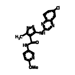 COc1ccc(NC(=O)c2c(C)nsc2Nc2cnc3cc(Cl)ccc3n2)cn1